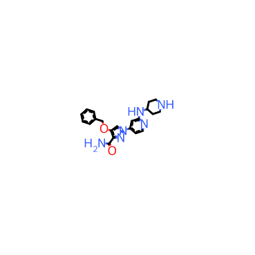 NC(=O)c1nn(-c2ccnc(NC3CCNCC3)c2)cc1OCc1ccccc1